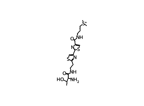 CC(O)C(N)C(=O)NCCc1nc(-c2nc(C(=O)NCCC[S+](C)C)cs2)cs1